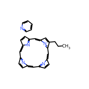 CCCC1=CC2=CC3=NC(=CC4=NC(=CC5=NC(=CC1=N2)C=C5)C=C4)C=C3.c1ccncc1